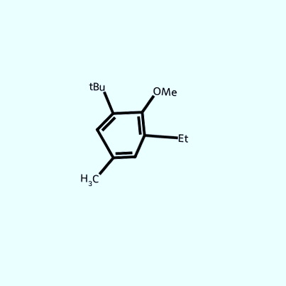 CCc1cc(C)cc(C(C)(C)C)c1OC